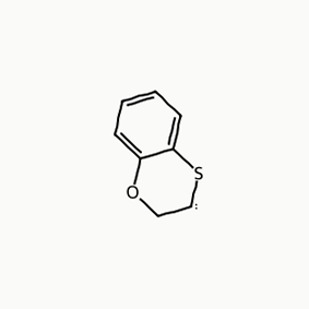 [C]1COc2ccccc2S1